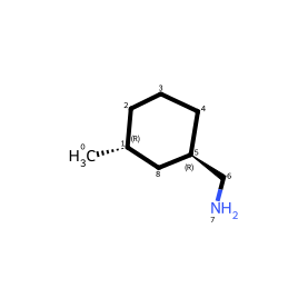 C[C@@H]1CCC[C@@H](CN)C1